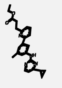 CCOC(=O)CCc1cccc(-c2cc(C)cc(Nc3nccc(C4CC4)n3)c2)n1